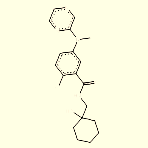 CN(c1ccc(Cl)c(C(=O)NCC2(O)CCCCC2)c1)c1cnccn1